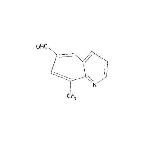 O=Cc1cc(C(F)(F)F)c2ncccc2c1